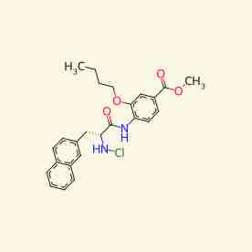 CCCCOc1cc(C(=O)OC)ccc1NC(=O)[C@@H](Cc1ccc2ccccc2c1)NCl